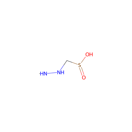 [NH]NCS(=O)O